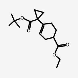 CCOC(=O)C1CC=C(C2(C(=O)OC(C)(C)C)CC2)CC1